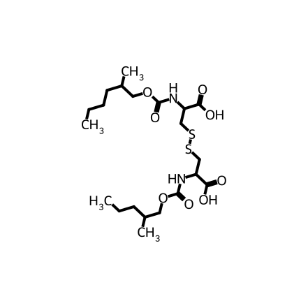 CCCCC(C)COC(=O)NC(CSSCC(NC(=O)OCC(C)CCC)C(=O)O)C(=O)O